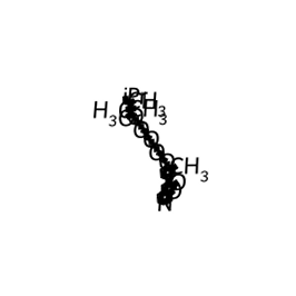 Cc1cc(-c2cc3ccncc3oc2=O)ccc1OCCOCCOCCOCCOC(=O)C(C)(C)C(C)CC(C)C